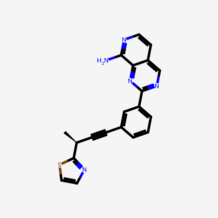 C[C@@H](C#Cc1cccc(-c2ncc3ccnc(N)c3n2)c1)c1nccs1